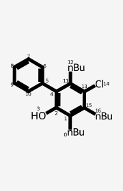 CCCCc1c(O)c(-c2ccccc2)c(CCCC)c(Cl)c1CCCC